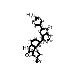 CCn1c(-c2cnc(C)nc2)nc2c(-c3ccc4c(c3)[C@]3(CCN(C(C)C)C3)C(=O)N4)ncnc21